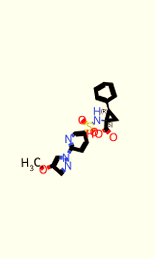 COc1cnn(-c2ccc(S(=O)(=O)N[C@@]3(C(=O)O)C[C@@H]3c3ccccc3)cn2)c1